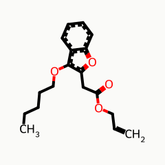 C=CCOC(=O)Cc1oc2ccccc2c1OCCCCC